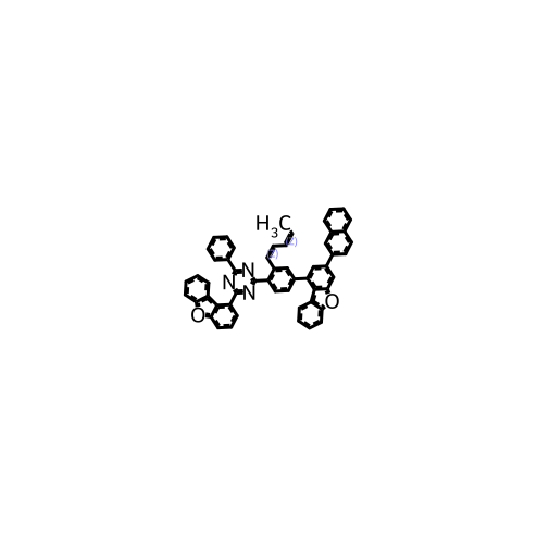 C/C=C\C=C/c1cc(-c2cc(-c3ccc4ccccc4c3)cc3oc4ccccc4c23)ccc1-c1nc(-c2ccccc2)nc(-c2cccc3oc4ccccc4c23)n1